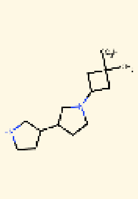 CC1(C(=O)O)CC(N2CCC(C3CCNC3)C2)C1